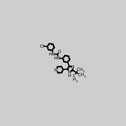 CC(C)(C)c1nc(-c2cccc(NC(=O)Nc3cccc(Cl)c3)c2)c(-c2ccncc2)[nH]1